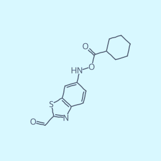 O=Cc1nc2ccc(NOC(=O)C3CCCCC3)cc2s1